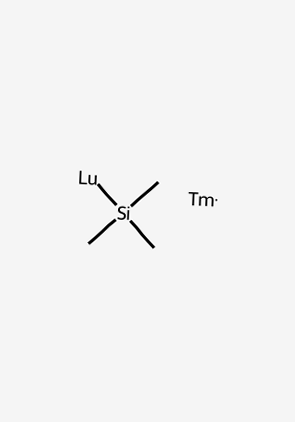 C[Si](C)(C)[Lu].[Tm]